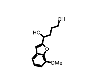 COc1cccc2cc(C(O)CCCO)oc12